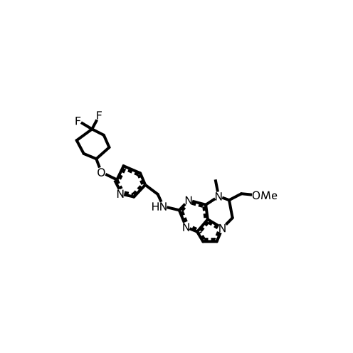 COCC1Cn2ccc3nc(NCc4ccc(OC5CCC(F)(F)CC5)nc4)nc(c32)N1C